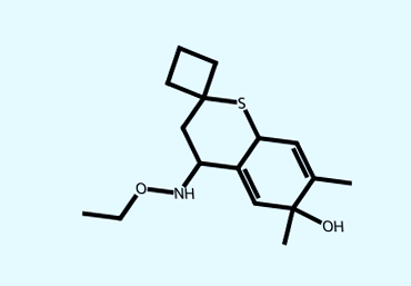 CCONC1CC2(CCC2)SC2C=C(C)C(C)(O)C=C12